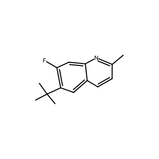 Cc1ccc2cc(C(C)(C)C)c(F)cc2n1